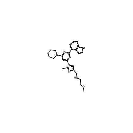 COCCNCc1cn(-c2nc(-c3cccc4[nH]ccc34)nc(N3CCOCC3)n2)c(C)n1